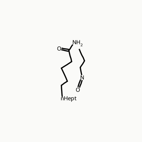 CCCCCCCCCCCC(N)=O.CCCN=O